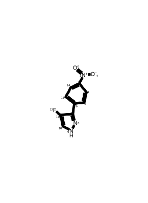 O=[N+]([O-])c1ccc(-c2n[nH]cc2F)cc1